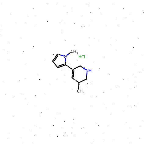 CC1C=C(c2cccn2C)CNC1.Cl